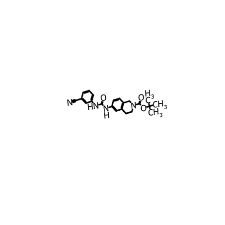 CC(C)(C)OC(=O)N1CCc2cc(NC(=O)Nc3cccc(C#N)c3)ccc2C1